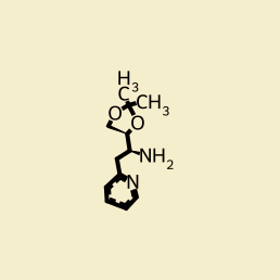 CC1(C)OC[C@H]([C@@H](N)Cc2ccccn2)O1